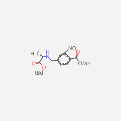 COC(=O)c1ccc(CNC(C)C(=O)OC(C)(C)C)cc1[N+](=O)[O-]